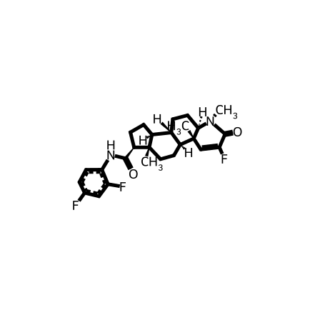 CN1C(=O)C(F)=C[C@]2(C)[C@H]3CC[C@]4(C)[C@@H](C(=O)Nc5ccc(F)cc5F)CC[C@H]4[C@@H]3CC[C@@H]12